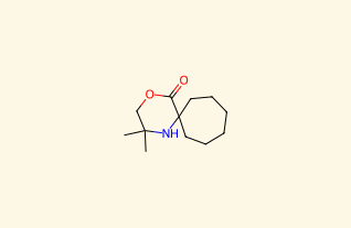 CC1(C)COC(=O)C2(CCCCCC2)N1